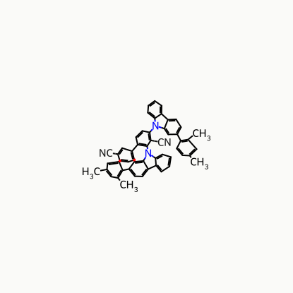 Cc1ccc(-c2ccc3c4ccccc4n(-c4ccc(-c5cccc(C#N)c5)c(-n5c6ccccc6c6ccc(-c7ccc(C)cc7C)cc65)c4C#N)c3c2)c(C)c1